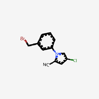 N#Cc1cc(Cl)cn1-c1cccc(CBr)c1